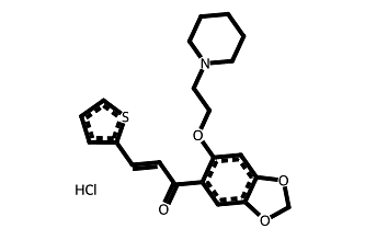 Cl.O=C(/C=C/c1cccs1)c1cc2c(cc1OCCN1CCCCC1)OCO2